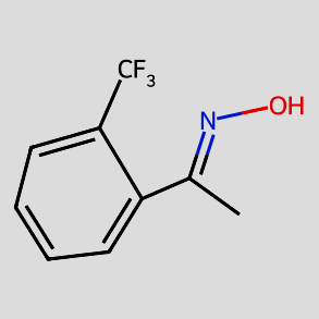 CC(=NO)c1ccccc1C(F)(F)F